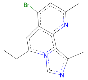 CCc1cc2c(Br)cc(C)nc2c2c(C)ncn12